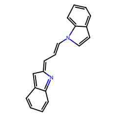 C1=c2ccccc2=N/C1=C\C=C\n1ccc2ccccc21